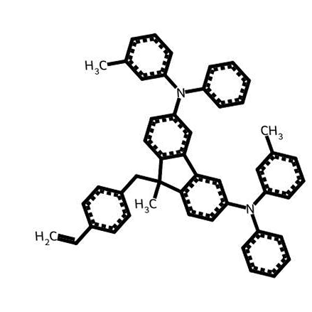 C=Cc1ccc(CC2(C)c3ccc(N(c4ccccc4)c4cccc(C)c4)cc3-c3cc(N(c4ccccc4)c4cccc(C)c4)ccc32)cc1